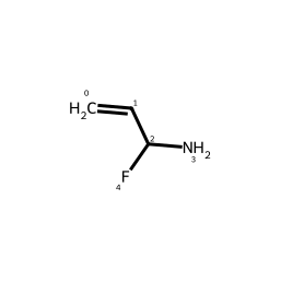 C=CC(N)F